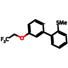 CSc1ccccc1-c1[c]ccc(OCC(F)(F)F)c1